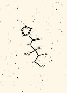 CC(C)(C)C(CC(=O)O)[C@@](NC(=O)n1ccnc1)(C(=O)O)C(C)(C)C